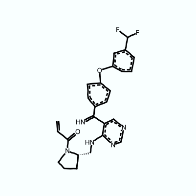 C=CC(=O)N1CCC[C@H]1CNc1ncncc1C(=N)c1ccc(Oc2cccc(C(F)F)c2)cc1